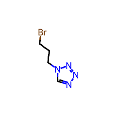 BrCCCn1cnnn1